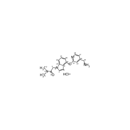 CN(C)C(=O)Cn1ccc2c(Oc3cc(CN)ccn3)cccc21.Cl